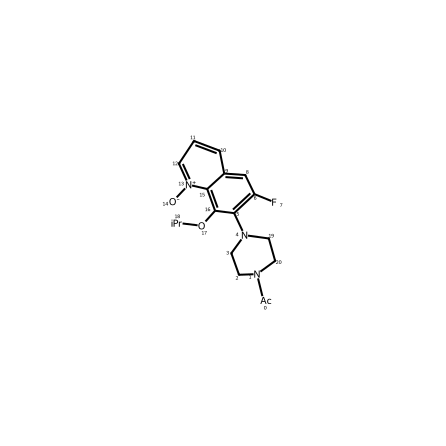 CC(=O)N1CCN(c2c(F)cc3ccc[n+]([O-])c3c2OC(C)C)CC1